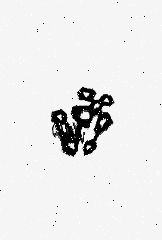 c1ccc(-c2cccc(-c3c4ccccc4c(-c4ccccc4)c4ccc(-c5nc6cccc7c6n5-c5ccccc5O7)cc34)c2)cc1